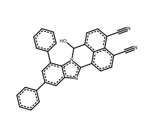 N#Cc1ccc2c3c(ccc(C#N)c13)C(O)n1c-2nc2cc(-c3ccccc3)cc(-c3ccccc3)c21